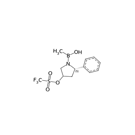 CB(O)N1CC(OS(=O)(=O)C(F)(F)F)C[C@H]1c1ccccc1